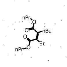 CCCC/C(C(=O)OCCC)=C(\CC)C(=O)OCCC